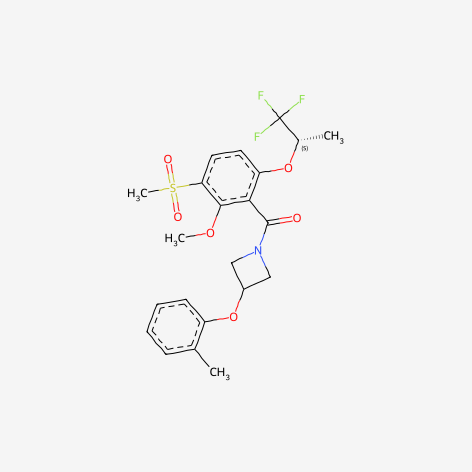 COc1c(S(C)(=O)=O)ccc(O[C@@H](C)C(F)(F)F)c1C(=O)N1CC(Oc2ccccc2C)C1